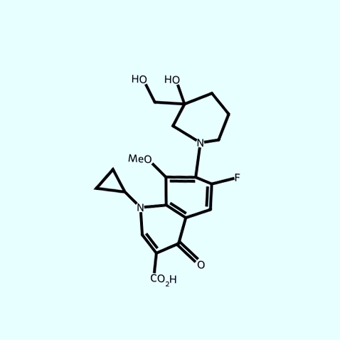 COc1c(N2CCCC(O)(CO)C2)c(F)cc2c(=O)c(C(=O)O)cn(C3CC3)c12